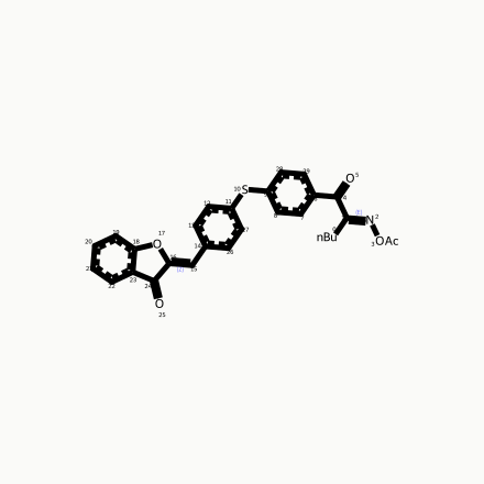 CCCC/C(=N\OC(C)=O)C(=O)c1ccc(Sc2ccc(/C=C3\Oc4ccccc4C3=O)cc2)cc1